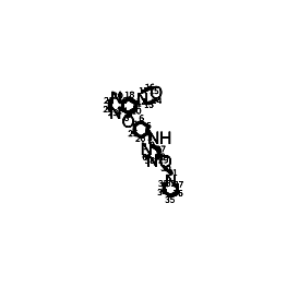 c1nc(N[C@H]2CC[C@@H](Oc3cc(N4CCOCC4)cc4nccnc34)CC2)cc(OCCN2CCCCC2)n1